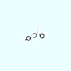 [O]c1ccc(N2CCC(Nc3cc(Cl)cc(Cl)c3)CC2)cc1